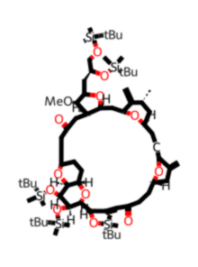 C=C1C[C@@H]2CCC(=O)/C=C/[C@H](O[Si](C)(C)C(C)(C)C)[C@@H]3O[C@H]4CCC(CC(=O)C[C@H]5[C@H](CC6O[C@@H](CCC1O2)C[C@@H](C)C6=C)OC(C[C@@H](CO[Si](C)(C)C(C)(C)C)O[Si](C)(C)C(C)(C)C)[C@@H]5OC)O[C@@H]4[C@H](O[Si](C)(C)C(C)(C)C)[C@@H]3O[Si](C)(C)C(C)(C)C